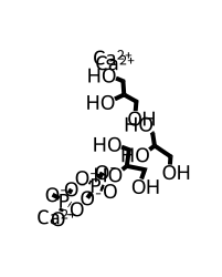 O=P([O-])([O-])[O-].O=P([O-])([O-])[O-].OCC(O)CO.OCC(O)CO.OCC(O)CO.[Ca+2].[Ca+2].[Ca+2]